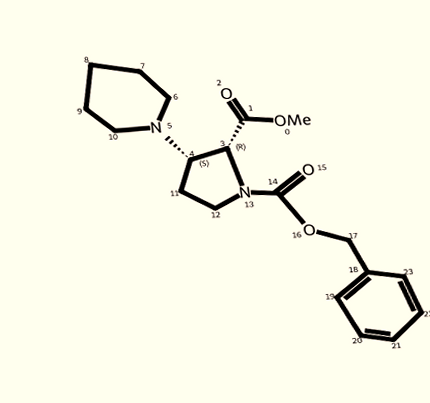 COC(=O)[C@H]1[C@@H](N2CCCCC2)CCN1C(=O)OCc1ccccc1